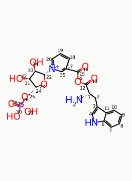 N[C@@H](Cc1c[nH]c2ccccc12)C(=O)OC(=O)c1ccc[n+]([C@@H]2O[C@H](COP(=O)(O)O)[C@@H](O)[C@H]2O)c1